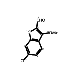 COc1c(C=O)sc2cc(Cl)ccc12